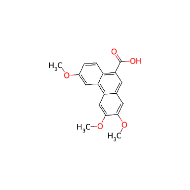 COc1ccc2c(C(=O)O)cc3cc(OC)c(OC)cc3c2c1